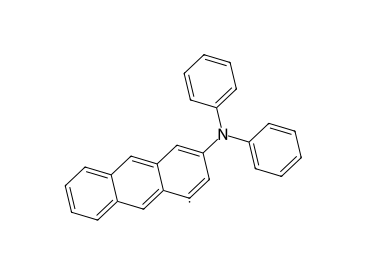 [c]1cc(N(c2ccccc2)c2ccccc2)cc2cc3ccccc3cc12